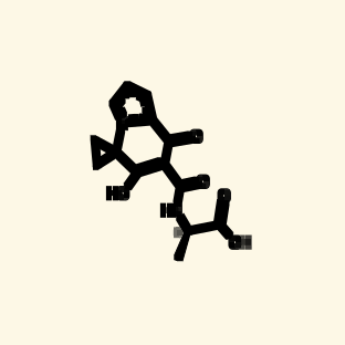 C[C@@H](NC(=O)C1=C(O)C2(CC2)n2cccc2C1=O)C(=O)O